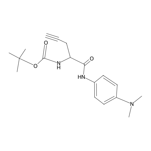 C#CCC(NC(=O)OC(C)(C)C)C(=O)Nc1ccc(N(C)C)cc1